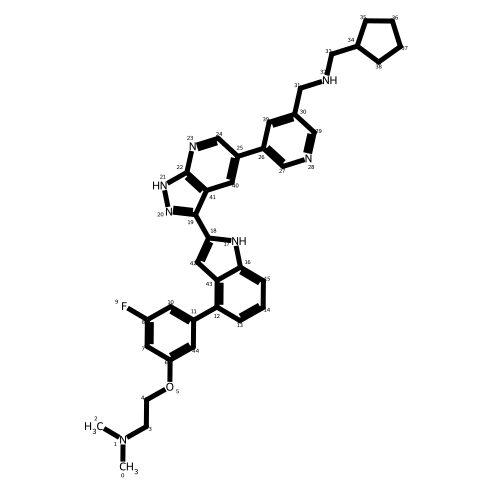 CN(C)CCOc1cc(F)cc(-c2cccc3[nH]c(-c4n[nH]c5ncc(-c6cncc(CNCC7CCCC7)c6)cc45)cc23)c1